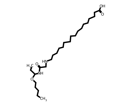 CCCCCOC(CC)NC(=O)CNCCCCCCCCCCCCCCCCC(=O)O